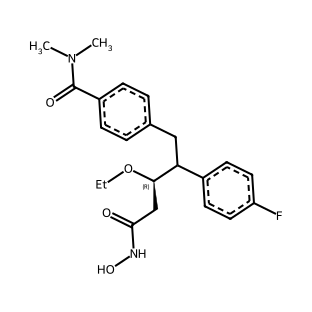 CCO[C@H](CC(=O)NO)C(Cc1ccc(C(=O)N(C)C)cc1)c1ccc(F)cc1